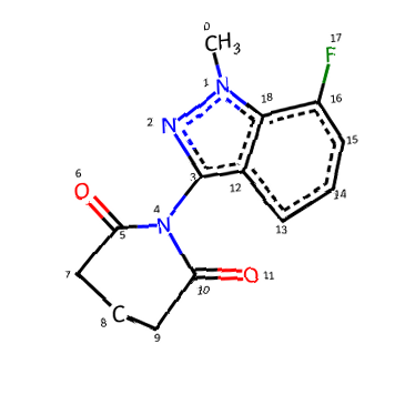 Cn1nc(N2C(=O)CCCC2=O)c2cccc(F)c21